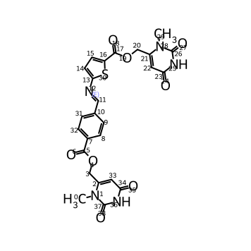 Cn1c(COC(=O)c2ccc(/C=N/c3ccc(C(=O)OCc4cc(=O)[nH]c(=O)n4C)s3)cc2)cc(=O)[nH]c1=O